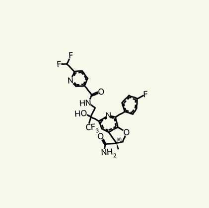 C[C@]1(C(N)=O)COc2c1cc(C(O)(CNC(=O)c1ccc(C(F)F)nc1)C(F)(F)F)nc2-c1ccc(F)cc1